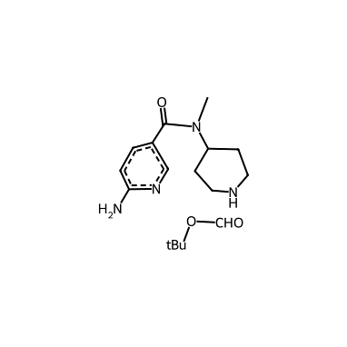 CC(C)(C)OC=O.CN(C(=O)c1ccc(N)nc1)C1CCNCC1